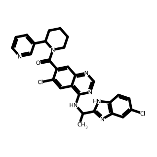 CC(Nc1ncnc2cc(C(=O)N3CCCCC3c3cccnc3)c(Cl)cc12)c1nc2cc(Cl)ccc2[nH]1